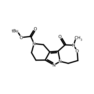 CN1OCCn2nc3c(c2C1=O)CN(C(=O)OC(C)(C)C)CC3